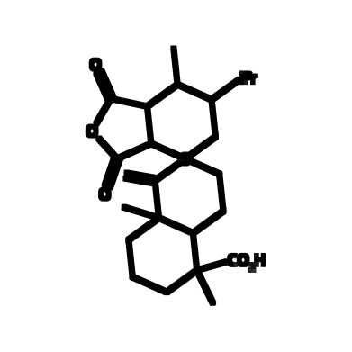 C=C1C2(C)CCCC(C)(C(=O)O)C2CCS12CC(C(C)C)C(C)C1C(=O)OC(=O)C12